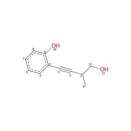 CC(C#Cc1ccccc1O)CO